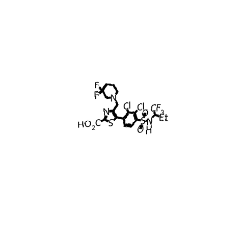 CCC(NS(=O)(=O)c1ccc(-c2sc(C(=O)O)nc2CN2CCCC(F)(F)C2)c(Cl)c1Cl)C(F)(F)F